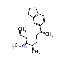 C=CS/C(=C\C)C(=C)CCC(=C)c1ccc2c(c1)CCC2